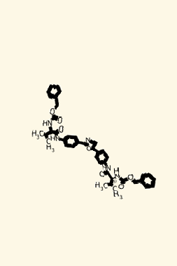 CC(C)C(NC(=O)OCc1ccccc1)C(=O)Nc1ccc(-c2ncc(-c3ccc(NC(=O)[C@@H](NC(=O)OCc4ccccc4)C(C)C)cc3)o2)cc1